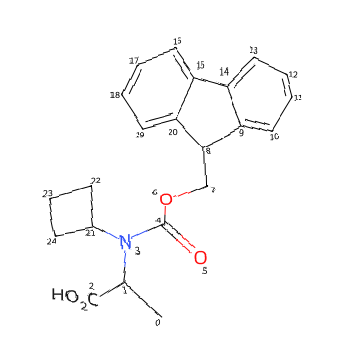 CC(C(=O)O)N(C(=O)OCC1c2ccccc2-c2ccccc21)C1CCC1